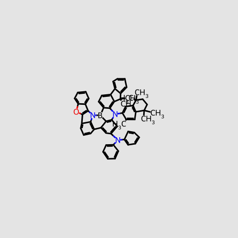 Cc1cc2c(cc1N1c3cc(N(c4ccccc4)c4ccccc4)cc4c3B(c3ccc5c(c31)C(C)(C)c1ccccc1-5)n1c3c-4cccc3c3oc4ccccc4c31)C(C)(C)CCC2(C)C